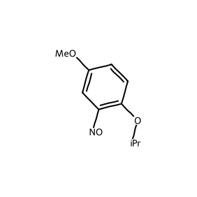 COc1ccc(OC(C)C)c(N=O)c1